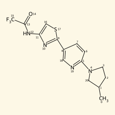 CC1CCN(c2ccc(-c3nc(NC(=O)C(F)(F)F)cs3)cn2)C1